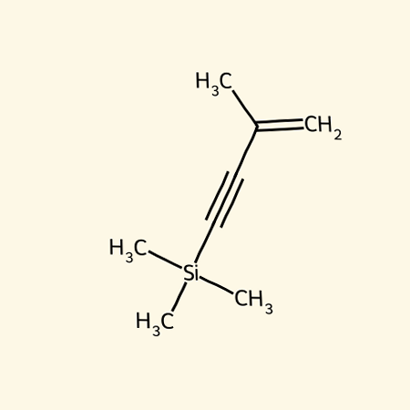 C=C(C)C#C[Si](C)(C)C